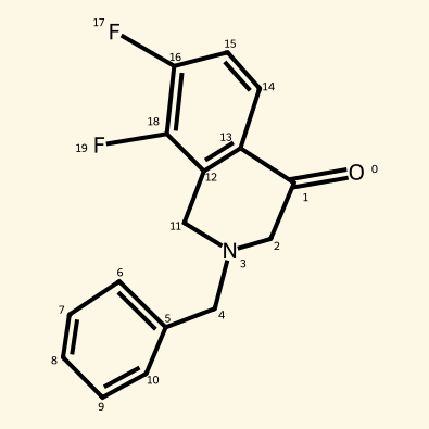 O=C1CN(Cc2ccccc2)Cc2c1ccc(F)c2F